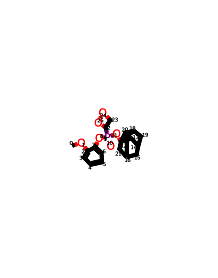 COc1ccccc1OP(=O)(OC12CC3CC(CC(C3)C1)C2)C1COO1